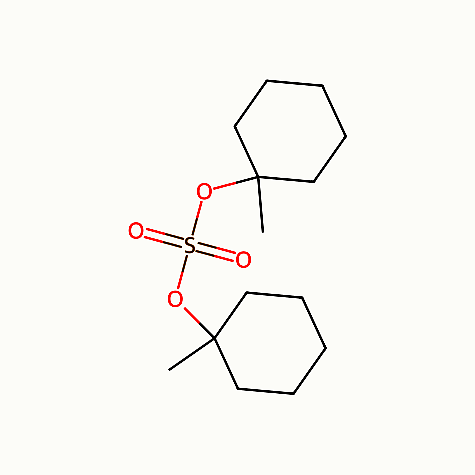 CC1(OS(=O)(=O)OC2(C)CCCCC2)CCCCC1